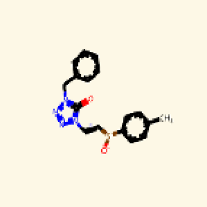 Cc1ccc([S+]([O-])/C=C/n2nnn(Cc3ccccc3)c2=O)cc1